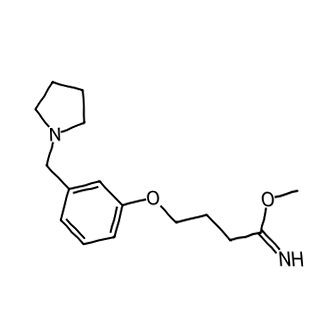 COC(=N)CCCOc1cccc(CN2CCCC2)c1